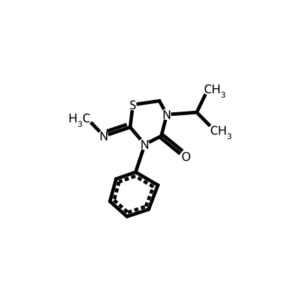 CN=C1SCN(C(C)C)C(=O)N1c1ccccc1